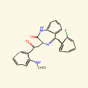 O=CNc1ccccc1C(=O)CC1N=C(c2ccccc2F)c2ccccc2NC1=O